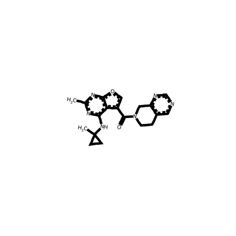 Cc1nc(NC2(C)CC2)c2c(C(=O)N3CCc4cncnc4C3)coc2n1